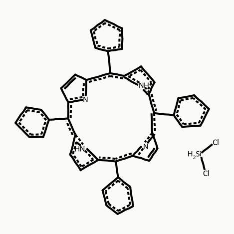 C1=Cc2nc1c(-c1ccccc1)c1ccc([nH]1)c(-c1ccccc1)c1nc(c(-c3ccccc3)c3ccc([nH]3)c2-c2ccccc2)C=C1.Cl[SiH2]Cl